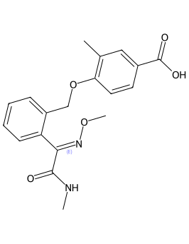 CNC(=O)/C(=N/OC)c1ccccc1COc1ccc(C(=O)O)cc1C